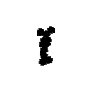 c1cncc(-c2cc(-c3cccnc3)cc(-c3ccc4ccc5c(-c6ccc7c(c6)sc6cc8c9ccccc9c9ccccc9c8cc67)ccc6ccc3c4c65)c2)c1